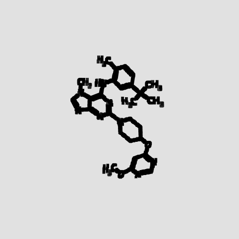 COc1cc(OC2CCN(c3nc(Nc4cc(C(C)(C)C)ccc4C)c4c(ncn4C)n3)CC2)ncn1